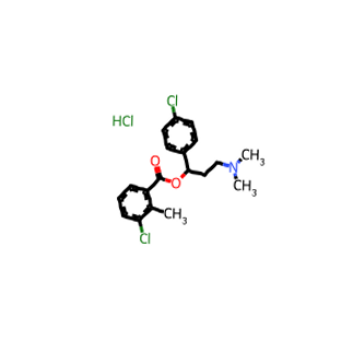 Cc1c(Cl)cccc1C(=O)OC(CCN(C)C)c1ccc(Cl)cc1.Cl